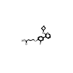 O=C(O)CCCOc1ccc(-c2cccnc2OC2CCC2)cc1F